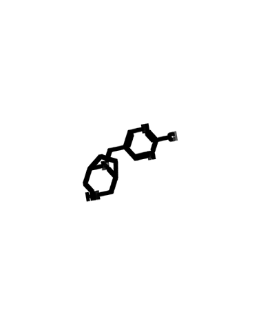 Clc1ncc(CN2C3CCC2CNC3)cn1